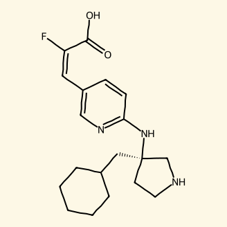 O=C(O)/C(F)=C\c1ccc(N[C@]2(CC3CCCCC3)CCNC2)nc1